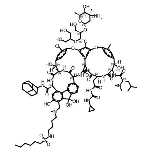 CCCCCCS(=O)(=O)NCCCCNCc1c(O)cc2c3c1C(O)(O)c1ccc(cc1-3)[C@H]1NC(=O)[C@@H]3NC(=O)[C@H](CC(=O)NC(=O)NC4CC4)NC(=O)[C@H](NC(=O)[C@@H](CC(C)C)NC)[C@H](O)c4ccc(c(C)c4)Oc4cc3cc(c4O[C@H](OC(CO)CO)[C@@H](CO)O[C@H]3C[C@](C)(N)[C@H](O)[C@H](C)O3)Oc3ccc(cc3Cl)[C@@H](O)[C@H](NC1=O)C(=O)N[C@@H]2C(=O)NC1C2CC3CC(C2)CC1C3